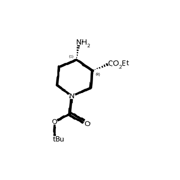 CCOC(=O)[C@@H]1CN(C(=O)OC(C)(C)C)CC[C@@H]1N